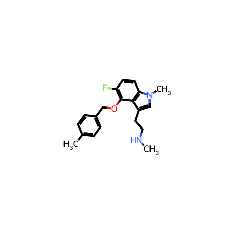 CNCCc1cn(C)c2ccc(F)c(OCc3ccc(C)cc3)c12